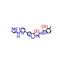 Cc1cccc([C@@H](CO)NC(=O)[C@@H](C)N2CCn3cc(-c4ccnc(Nc5ccnn5C)n4)cc3C2=O)c1